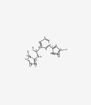 Cc1cc(-c2cccc(C(C)Sc3nncn3C)c2)[nH]n1